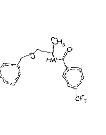 CC(COCc1ccccc1)NC(=O)c1ccc(C(F)(F)F)cc1